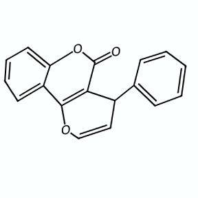 O=c1oc2ccccc2c2c1C(c1ccccc1)C=CO2